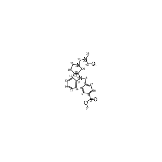 COC(=O)c1ccc(Cn2c3c(c4ccccc42)CCN(CN(C)C=O)C3)cc1